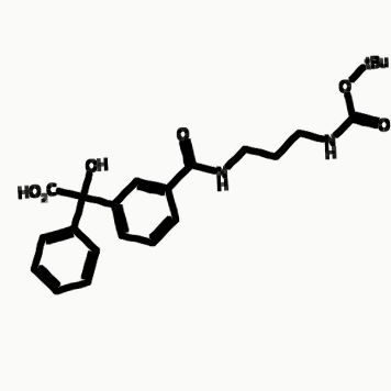 CC(C)(C)OC(=O)NCCCNC(=O)c1cccc(C(O)(C(=O)O)c2ccccc2)c1